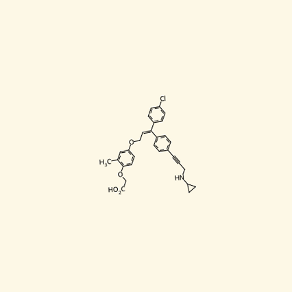 Cc1cc(OCC=C(c2ccc(Cl)cc2)c2ccc(C#CCNC3CC3)cc2)ccc1OCC(=O)O